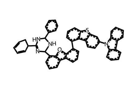 C1=CCC(C2=NC(c3cccc4c3oc3c(-c5cccc6sc7cc(-n8c9ccccc9c9ccccc98)ccc7c56)cccc34)NC(c3ccccc3)N2)C=C1